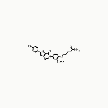 COc1cc(-n2cnc3cc(-c4ccc(Cl)cc4)sc3c2=O)ccc1OCCCCC(N)=O